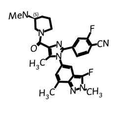 CN[C@H]1CCCN(C(=O)c2nc(-c3ccc(C#N)c(F)c3)n(-c3cc(C)c4nn(C)c(F)c4c3)c2C)C1